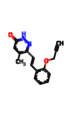 C#CCOc1ccccc1C=Cc1n[nH]c(=O)cc1C